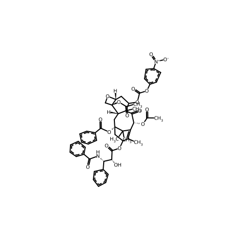 CC(=O)O[C@H]1C(=O)C2(C)C(OC(=O)Oc3ccc([N+](=O)[O-])cc3)C[C@H]3OC[C@@]3(OC(C)=O)[C@H]2C[C@]2(OC(=O)c3ccccc3)CC(OC(=O)[C@H](O)[C@@H](NC(=O)c3ccccc3)c3ccccc3)C(C)=C1C2(C)C